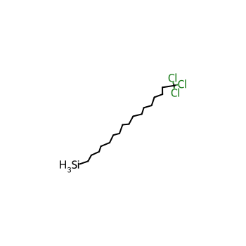 [SiH3]CCCCCCCCCCCCCCCCC(Cl)(Cl)Cl